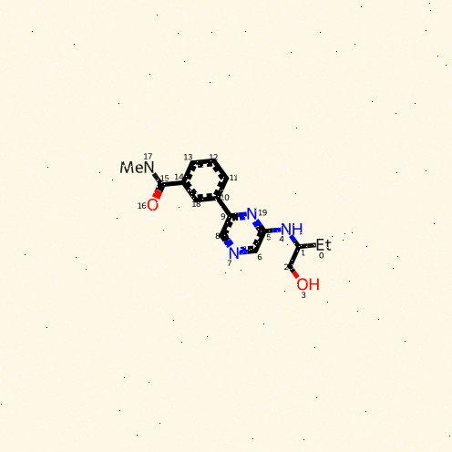 CCC(CO)Nc1cncc(-c2cccc(C(=O)NC)c2)n1